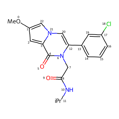 COc1cc2c(=O)n(CC(=O)NC(C)C)c(-c3cccc(Cl)c3)cn2c1